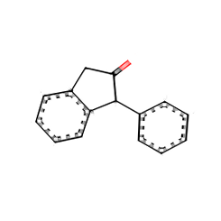 O=C1Cc2ccccc2C1c1ccccc1